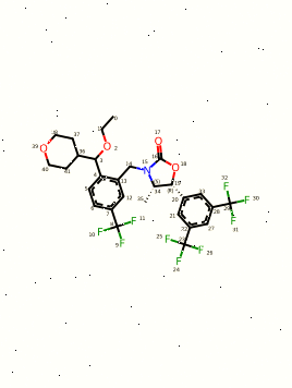 CCOC(c1ccc(C(F)(F)F)cc1CN1C(=O)O[C@H](c2cc(C(F)(F)F)cc(C(F)(F)F)c2)[C@@H]1C)C1CCOCC1